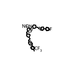 Cc1ccc(N2CCN(CCC3CCN(CC(=O)CC(C#N)C(=O)NC4CCC(CCN5CC=C(c6ccc(F)cc6)CC5)CC4)CC3)CC2)cc1C(F)(F)F